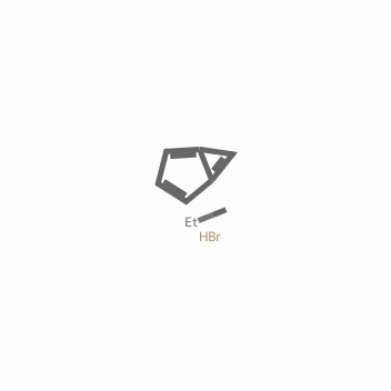 Br.CCC.c1cc2cc-2c1